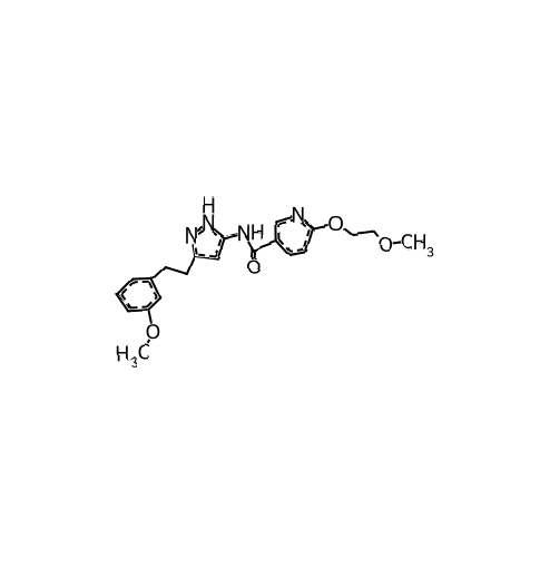 COCCOc1ccc(C(=O)Nc2cc(CCc3cccc(OC)c3)n[nH]2)cn1